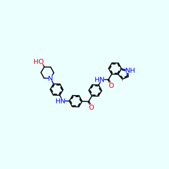 O=C(c1ccc(NC(=O)c2cccc3[nH]c[c]c23)cc1)c1ccc(Nc2ccc(N3CCC(O)CC3)cc2)cc1